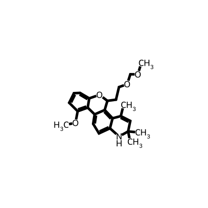 COCOCCC1Oc2cccc(OC)c2-c2ccc3c(c21)C(C)=CC(C)(C)N3